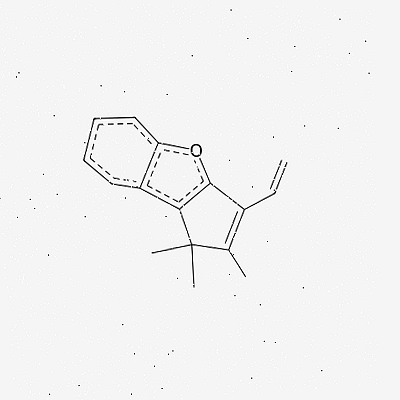 C=CC1=C(C)C(C)(C)c2c1oc1ccccc21